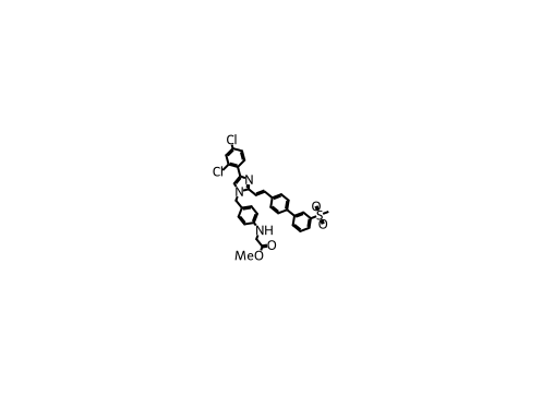 COC(=O)CNc1ccc(Cn2cc(-c3ccc(Cl)cc3Cl)nc2/C=C/c2ccc(-c3cccc(S(C)(=O)=O)c3)cc2)cc1